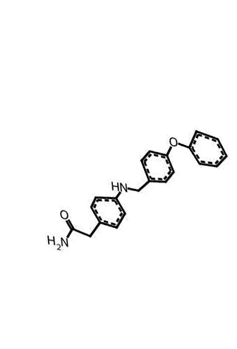 NC(=O)Cc1ccc(NCc2ccc(Oc3ccccc3)cc2)cc1